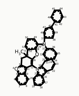 CC12Cc3oc4ccccc4c3C(n3c4c(c5ccccc53)C=CCC4)=C1Oc1c(N(c3ccccc3)c3ccc(-c4ccccc4)cc3)cccc12